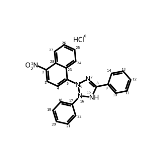 Cl.O=[N+]([O-])c1ccc(N2N=C(c3ccccc3)NN2c2ccccc2)c2ccccc12